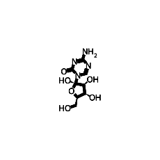 Nc1ncn([C@]2(O)O[C@H](CO)[C@@H](O)[C@H]2O)c(=O)n1